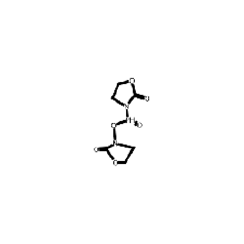 O=C1OCCN1O[PH](=O)N1CCOC1=O